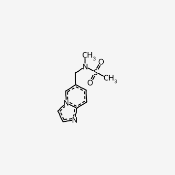 CN(Cc1ccc2nccn2c1)S(C)(=O)=O